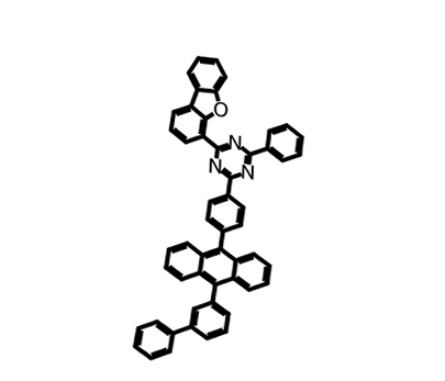 c1ccc(-c2cccc(-c3c4ccccc4c(-c4ccc(-c5nc(-c6ccccc6)nc(-c6cccc7c6oc6ccccc67)n5)cc4)c4ccccc34)c2)cc1